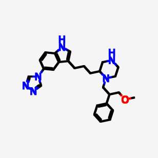 COCC(CN1CCNCC1CCCc1c[nH]c2ccc(-n3cnnc3)cc12)c1ccccc1